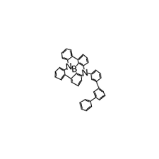 c1ccc(-c2cccc(-c3cccc(N4c5cccc6c5B5c7c(cccc74)-c4ccccc4N5c4ccccc4-6)c3)c2)cc1